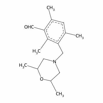 Cc1cc(C)c(CN2CC(C)OC(C)C2)c(C)c1C=O